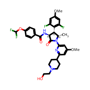 COc1cc(C2CCN(CCO)CC2)nc(N2C(=O)[C@@H](NC(=O)c3ccc(OC(F)F)cc3)[C@H](c3c(F)cc(OC)cc3F)[C@@H]2C)c1